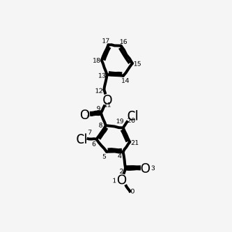 COC(=O)c1cc(Cl)c(C(=O)OCc2ccccc2)c(Cl)c1